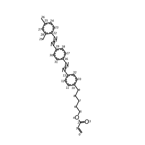 C=CC(=O)OCCCCCc1ccc(N=Nc2ccc(N=Nc3ccc(C)cc3C)cc2)cc1